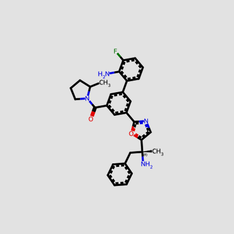 CC1CCCN1C(=O)c1cc(-c2ncc([C@](C)(N)Cc3ccccc3)o2)cc(-c2cccc(F)c2N)c1